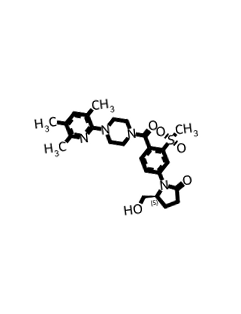 Cc1cc(C)c(N2CCN(C(=O)c3ccc(N4C(=O)CC[C@H]4CO)cc3S(C)(=O)=O)CC2)nc1C